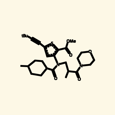 COC(=O)c1sc(C#CC(C)(C)C)cc1N(CC(C)C(=O)N1CCOCC1)C(=O)C1CCC(C)CC1